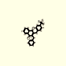 O=C1C(Cc2ccccc2)=C(Cc2ccc(C(F)(F)F)cc2)C(=O)c2ccccc21